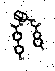 O=C(NC12CC3CC(CC(NCC(=O)N4Cc5ccc(F)cc5C4)(C3)C1)C2)c1ccc(-c2ccc(O)cc2)cc1